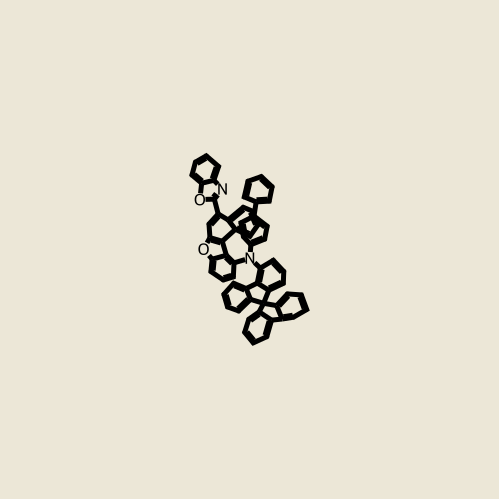 c1ccc(-c2ccc(N(c3cccc4c3-c3ccccc3C43c4ccccc4-c4ccccc43)c3cccc4oc5cc(-c6nc7ccccc7o6)c6ccccc6c5c34)cc2)cc1